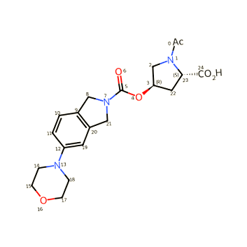 CC(=O)N1C[C@H](OC(=O)N2Cc3ccc(N4CCOCC4)cc3C2)C[C@H]1C(=O)O